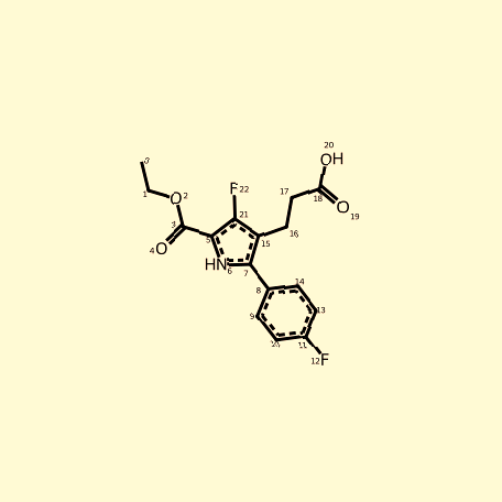 CCOC(=O)c1[nH]c(-c2ccc(F)cc2)c(CCC(=O)O)c1F